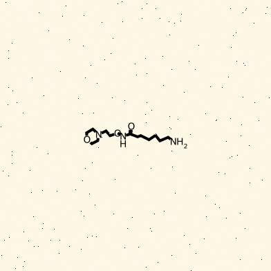 NCCCCCCC(=O)NOCCN1CCOCC1